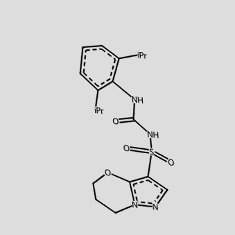 CC(C)c1cccc(C(C)C)c1NC(=O)NS(=O)(=O)c1cnn2c1OCCC2